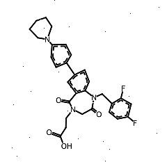 O=C(O)CCN1CC(=O)N(Cc2ccc(F)cc2F)c2ccc(-c3ccc(N4CCCCC4)cc3)cc2C1=O